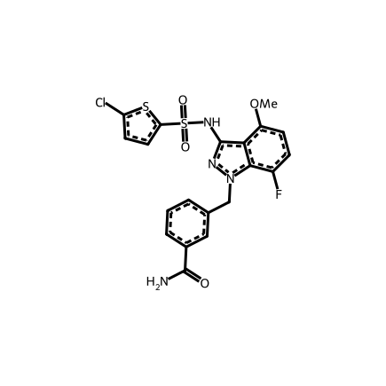 COc1ccc(F)c2c1c(NS(=O)(=O)c1ccc(Cl)s1)nn2Cc1cccc(C(N)=O)c1